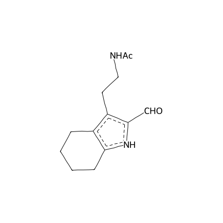 CC(=O)NCCc1c(C=O)[nH]c2c1CCCC2